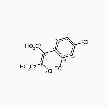 O=C(O)/C(Cl)=C(\C(=O)O)c1ccc(Cl)cc1Cl